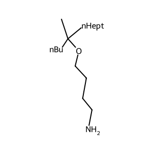 CCCCCCCC(C)(CCCC)OCCCCN